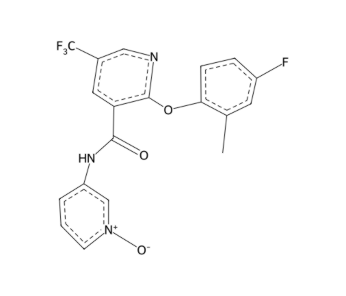 Cc1cc(F)ccc1Oc1ncc(C(F)(F)F)cc1C(=O)Nc1ccc[n+]([O-])c1